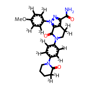 [2H]c1c([2H])c(-n2nc(C(N)=O)c3c2C(=O)N(c2c([2H])c([2H])c(N4CCCC([2H])([2H])C4=O)c([2H])c2[2H])CC3([2H])[2H])c([2H])c([2H])c1OC